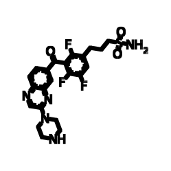 NS(=O)(=O)CCCc1cc(F)c(F)c(C(=O)c2ccc3ncc(N4CCNCC4)nc3c2)c1F